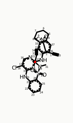 C#CCN1CC2CCC(C1)c1cc(Nc3ncc(Cl)c(Nc4ccccc4S(=O)(=O)N(C)CC#C)n3)ccc12